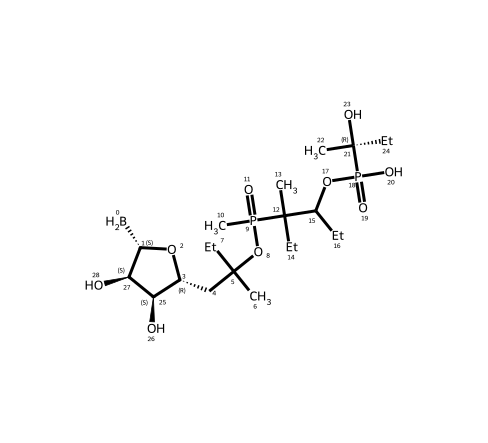 B[C@@H]1O[C@H](CC(C)(CC)OP(C)(=O)C(C)(CC)C(CC)OP(=O)(O)[C@@](C)(O)CC)[C@@H](O)[C@H]1O